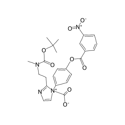 CN(CCC1=NC=C[N+]1(C(=O)[O-])c1ccc(OC(=O)c2cccc([N+](=O)[O-])c2)cc1)C(=O)OC(C)(C)C